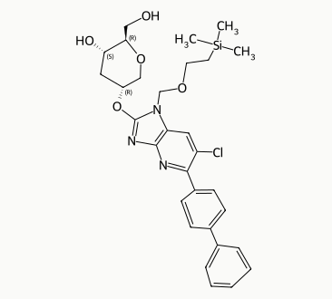 C[Si](C)(C)CCOCn1c(O[C@H]2CO[C@H](CO)[C@@H](O)C2)nc2nc(-c3ccc(-c4ccccc4)cc3)c(Cl)cc21